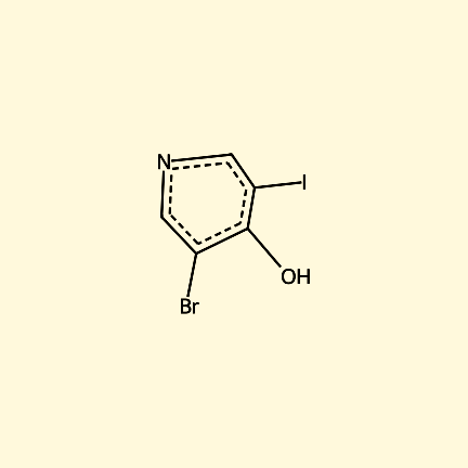 Oc1c(Br)cncc1I